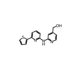 OCc1ccnc(Nc2cccc(-c3cccs3)n2)c1